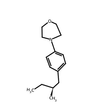 CC[C@H](C)Cc1ccc(N2CCOCC2)cc1